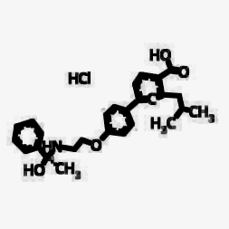 CC(C)Cc1cc(-c2ccc(OCCN[C@@](C)(O)c3ccccc3)cc2)ccc1C(=O)O.Cl